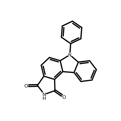 O=C1NC(=O)c2c1ccc1c2c2ccccc2n1-c1ccccc1